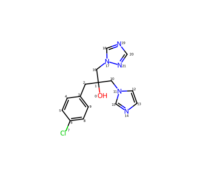 OC(Cc1ccc(Cl)cc1)(Cn1ccnc1)Cn1cncn1